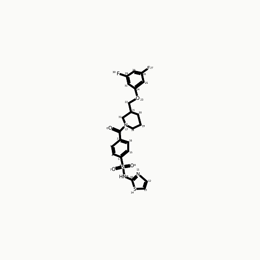 O=C(c1ccc(S(=O)(=O)Nc2nccs2)cc1)N1CCCC(COc2cc(F)cc(F)c2)C1